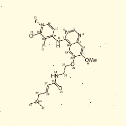 COc1cc2ncnc(Nc3ccc(F)c(Cl)c3F)c2cc1OCCNC(=O)C=CCN(C)C